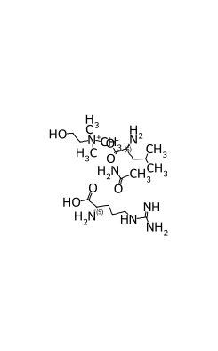 CC(C)C[C@H](N)C(=O)[O-].CC(N)=O.C[N+](C)(C)CCO.N=C(N)NCCC[C@H](N)C(=O)O